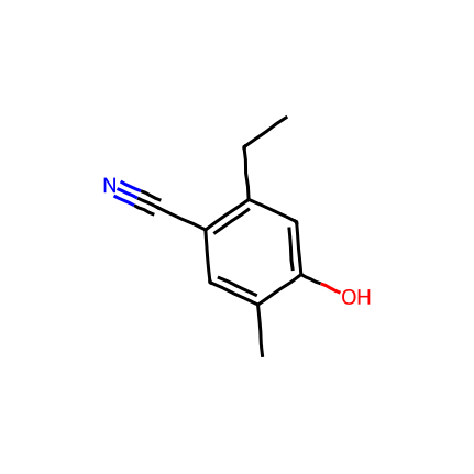 CCc1cc(O)c(C)cc1C#N